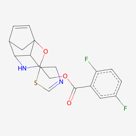 O=C(OCC1NC2C3C=CC(C3)(O1)C2C1CN=CS1)c1cc(F)ccc1F